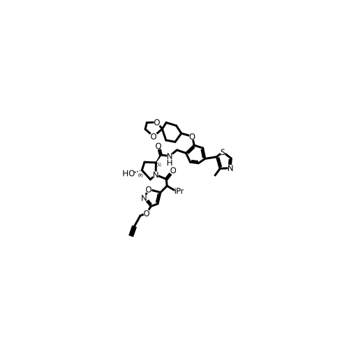 C#CCOc1cc(C(C(=O)N2C[C@H](O)C[C@H]2C(=O)NCc2ccc(-c3scnc3C)cc2OC2CCC3(CC2)OCCO3)C(C)C)on1